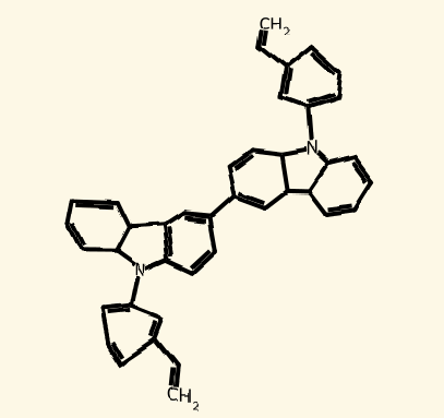 C=Cc1cccc(N2c3ccc(C4=CC5C6C=CC=CC6N(c6cccc(C=C)c6)C5C=C4)cc3C3C=CC=CC32)c1